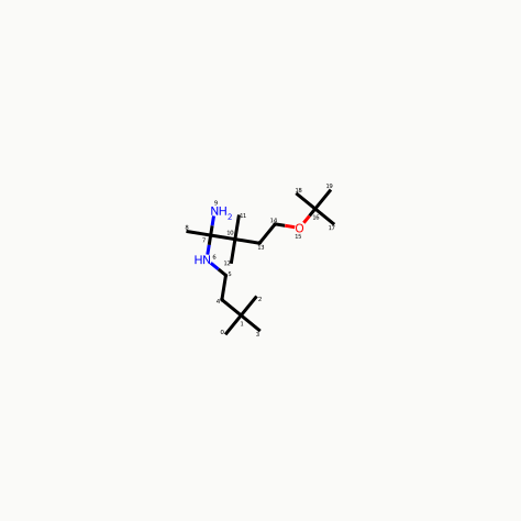 CC(C)(C)CCNC(C)(N)C(C)(C)CCOC(C)(C)C